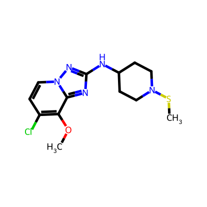 COc1c(Cl)ccn2nc(NC3CCN(SC)CC3)nc12